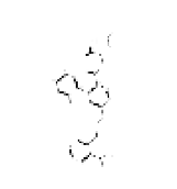 CSCC[C@H](NC(=O)c1ccc(COCc2ccccc2C(C)C)cc1-c1ccccc1C)C(=O)O